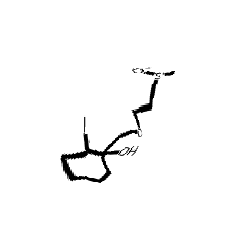 C[S+]([O-])CCOCC1(O)CCCCC1I